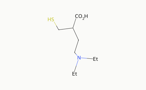 CCN(CC)CCC(CS)C(=O)O